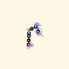 CN1C[C@H](Nc2cnn(C)c(=O)c2Cl)C[C@H](c2ccc(C(=O)N3CCC4(CCC(c5ccc(C6CCC(=O)NC6=O)cc5)CC4)CC3)cc2)C1